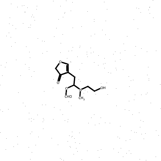 CN(CCO)C(CC1=COCC1=O)OC=O